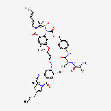 C=CCC1=CN2C(=O)c3cc(OC)c(OCCCOc4cc5c(cc4OC)C(=O)N4C=C(/C=C/C)C[C@H]4[C@H](O)N5C(=O)OCc4ccc(NC(=O)[C@H](C)NC(=O)[C@@H](N)C(C)C)cc4)cc3N=C[C@@H]2C1